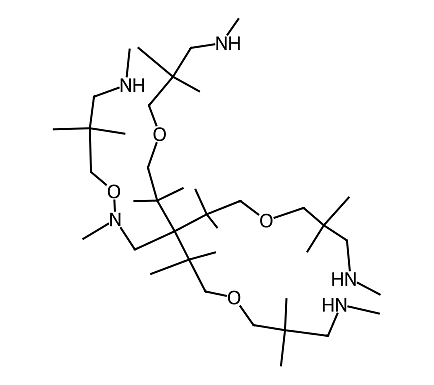 CNCC(C)(C)COCC(C)(C)C(CN(C)OCC(C)(C)CNC)(C(C)(C)COCC(C)(C)CNC)C(C)(C)COCC(C)(C)CNC